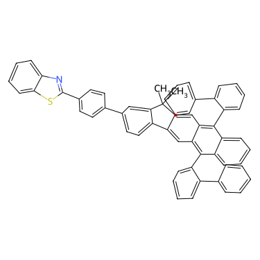 CC1(C)c2cc(-c3ccc(-c4nc5ccccc5s4)cc3)ccc2-c2cc3c(-c4ccccc4-c4ccccc4)c4ccccc4c(-c4ccccc4-c4ccccc4)c3cc21